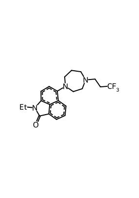 CCN1C(=O)c2cccc3c(N4CCCN(CCC(F)(F)F)CC4)ccc1c23